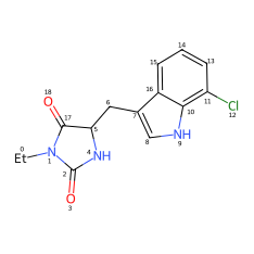 CCN1C(=O)NC(Cc2c[nH]c3c(Cl)cccc23)C1=O